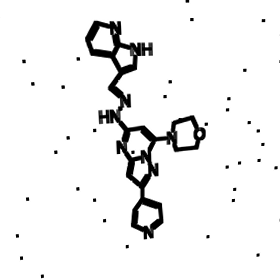 C(=NNc1cc(N2CCOCC2)n2nc(-c3ccncc3)cc2n1)c1c[nH]c2ncccc12